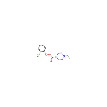 CCN1CCN(C(=O)COc2ccccc2Cl)CC1